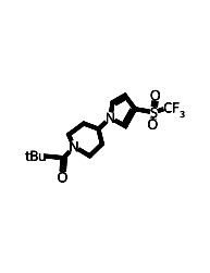 CC(C)(C)C(=O)N1CCC(n2ccc(S(=O)(=O)C(F)(F)F)c2)CC1